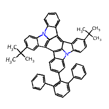 CC(C)(C)c1ccc2c(c1)c1c3c4ccc(-c5c(-c6ccccc6)cccc5-c5ccccc5)cc4n4c5ccc(C(C)(C)C)cc5c(c5c6ccccc6n2c51)c34